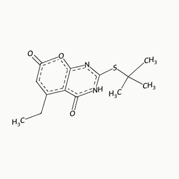 CCc1cc(=O)oc2nc(SC(C)(C)C)[nH]c(=O)c12